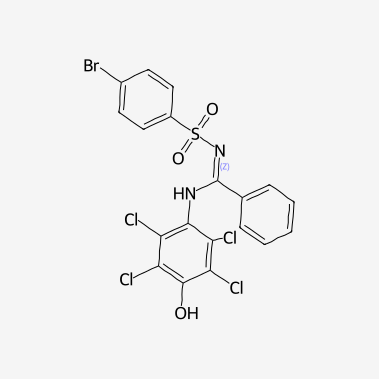 O=S(=O)(/N=C(\Nc1c(Cl)c(Cl)c(O)c(Cl)c1Cl)c1ccccc1)c1ccc(Br)cc1